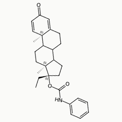 CC[C@]1(OC(=O)Nc2ccccc2)CCC2C3CCC4=CC(=O)C=C[C@]4(C)C3CC[C@@]21C